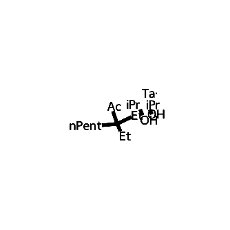 CC(C)O.CC(C)O.CCCCCC(CC)(CC)C(C)=O.[Ta]